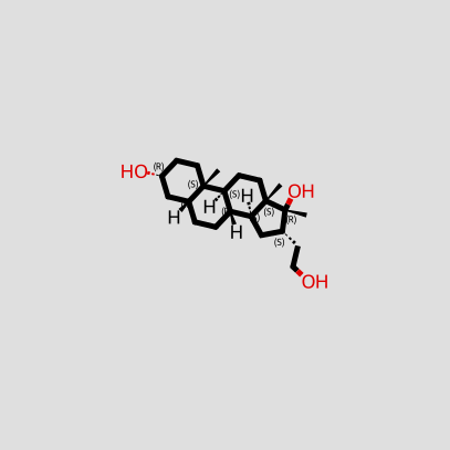 C[C@]12CC[C@@H](O)C[C@H]1CC[C@@H]1[C@@H]2CC[C@@]2(C)[C@H]1C[C@@H](CCO)[C@@]2(C)O